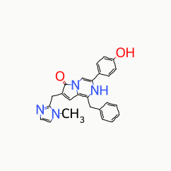 Cn1ccnc1Cc1cc2c(Cc3ccccc3)[nH]c(-c3ccc(O)cc3)cn-2c1=O